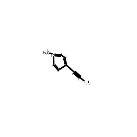 CC#Cc1cc[n+](C)cc1